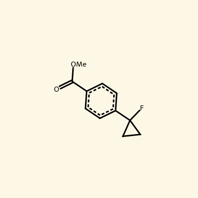 COC(=O)c1ccc(C2(F)CC2)cc1